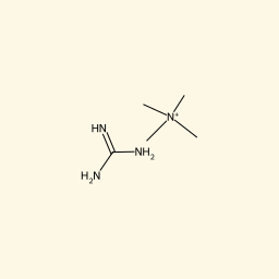 C[N+](C)(C)C.N=C(N)N